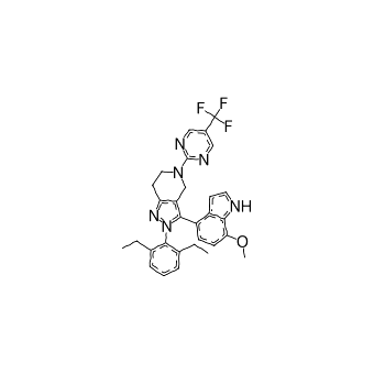 CCc1cccc(CC)c1-n1nc2c(c1-c1ccc(OC)c3[nH]ccc13)CN(c1ncc(C(F)(F)F)cn1)CC2